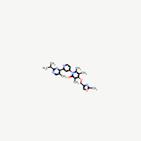 Cc1nc(COc2c(C)c(C)n(-c3ccnc(-c4nc(C(C)C)ncc4C)c3)c(=O)c2C)co1